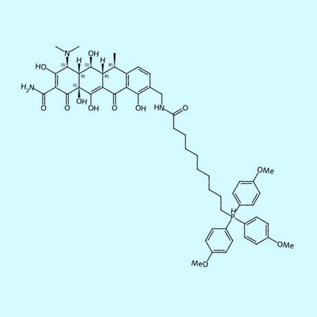 COc1ccc([PH](CCCCCCCCCC(=O)NCc2ccc3c(c2O)C(=O)C2=C(O)[C@]4(O)C(=O)C(C(N)=O)=C(O)[C@@H](N(C)C)[C@@H]4[C@@H](O)[C@@H]2[C@H]3C)(c2ccc(OC)cc2)c2ccc(OC)cc2)cc1